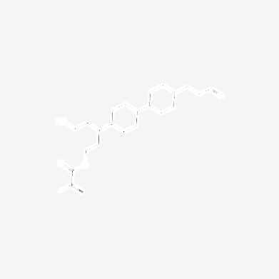 C=CCCC1CCC(C2CCC(C(CCO)CCOC(=O)C(=C)C)CC2)CC1